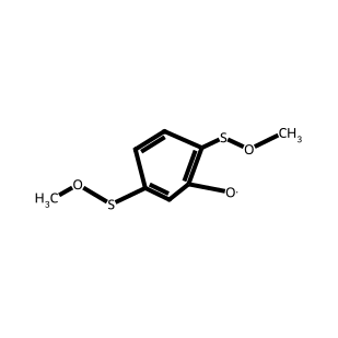 COSc1ccc(SOC)c([O])c1